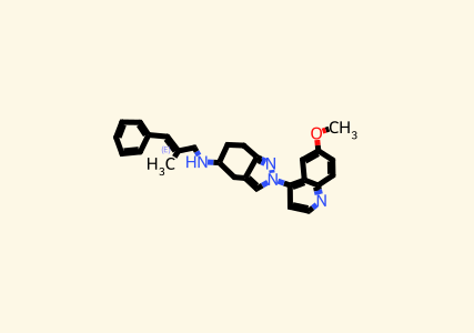 COc1ccc2nccc(-n3cc4c(n3)CCC(NC/C(C)=C/c3ccccc3)C4)c2c1